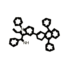 C=Cc1c(C(=N)c2ccccc2)c2cc(C3=Cc4c(c(-c5ccccc5)c5ccccc5c4-c4ccccc4)CC3)ccc2n1-c1ccccc1